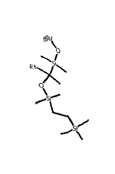 CCC(C)(O[Si](C)(C)CC[Si](C)(C)C)[Si](C)(C)OC(C)(C)C